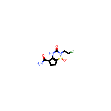 NC(=O)C1CCC2=C1NC(=O)N(CCCl)[S+]2[O-]